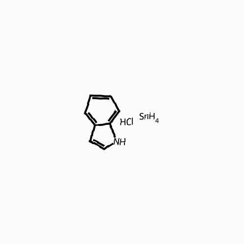 Cl.[SnH4].c1ccc2[nH]ccc2c1